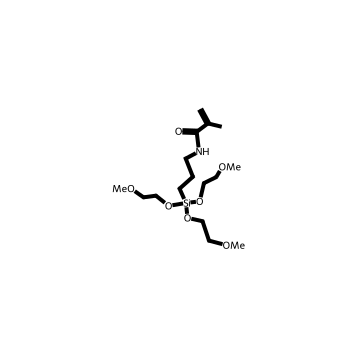 C=C(C)C(=O)NCCC[Si](OCCOC)(OCCOC)OCCOC